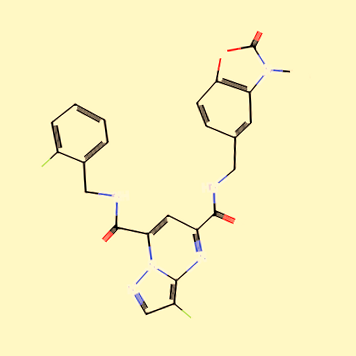 Cn1c(=O)oc2ccc(CNC(=O)c3cc(C(=O)NCc4ccccc4F)n4ncc(F)c4n3)cc21